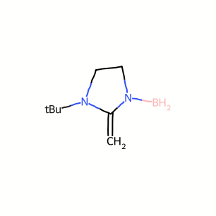 BN1CCN(C(C)(C)C)C1=C